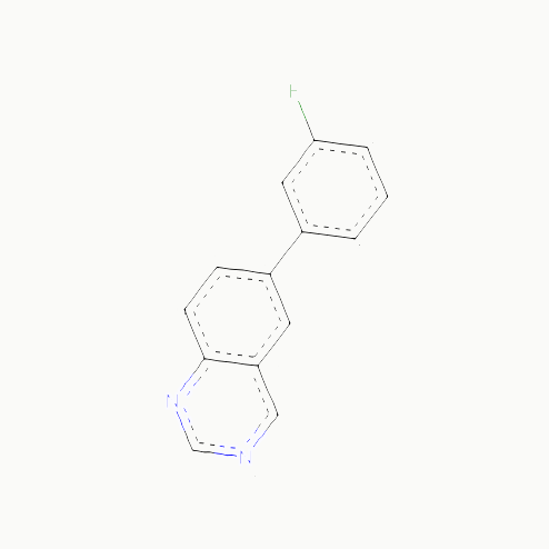 Fc1cccc(-c2c[c]c3ncncc3c2)c1